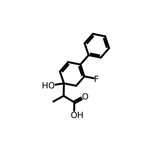 CC(C(=O)O)C1(O)C=CC(c2ccccc2)=C(F)C1